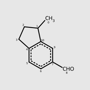 CC1CCc2ccc(C=O)cc21